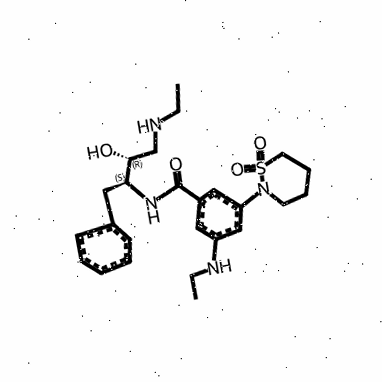 CCNC[C@@H](O)[C@H](Cc1ccccc1)NC(=O)c1cc(NCC)cc(N2CCCCS2(=O)=O)c1